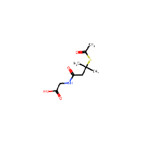 CC(=O)SC(C)(C)CC(=O)NCC(=O)O